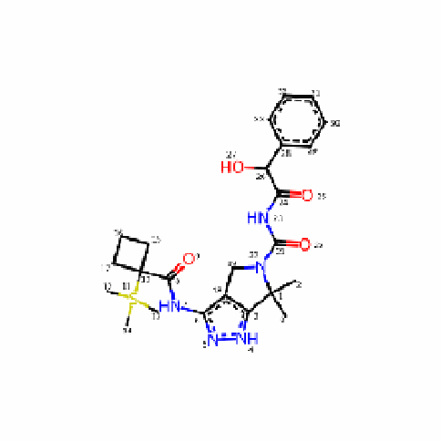 CC1(C)c2[nH]nc(NC(=O)C3(S(C)(C)C)CCC3)c2CN1C(=O)NC(=O)C(O)c1ccccc1